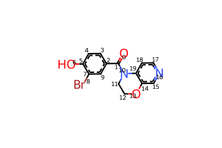 O=C(c1ccc(O)c(Br)c1)N1CCOc2cnccc21